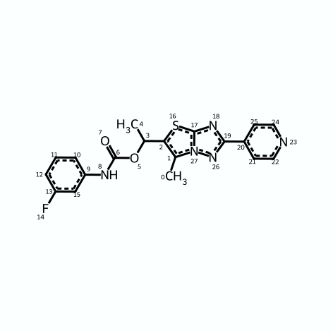 Cc1c(C(C)OC(=O)Nc2cccc(F)c2)sc2nc(-c3ccncc3)nn12